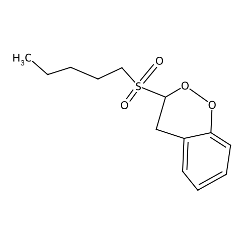 CCCCCS(=O)(=O)C1Cc2ccccc2OO1